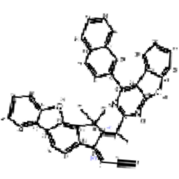 C#C/C=C1\C(=C(/C)c2nc(-c3ccc4ccccc4c3)c3c(n2)oc2ccccc23)C(C)(C)c2c1ccc1c2oc2ccccc21